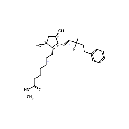 CNC(=O)CCC/C=C/C[C@@H]1[C@@H](/C=C/C(F)(F)CCc2ccccc2)[C@H](O)C[C@@H]1O